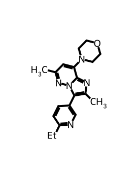 CCc1ccc(-c2c(C)nc3c(N4CCOCC4)cc(C)nn23)cn1